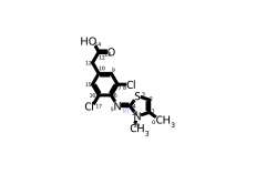 Cc1cs/c(=N\c2c(Cl)cc(CC(=O)O)cc2Cl)n1C